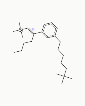 CCCC/C(=C\[Si](C)(C)C)c1cccc(CCCCCC(C)(C)C)c1